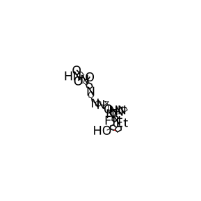 CCc1cccc2cc(O)cc(-c3ncc4c(N5CC6CCC(C5)N6)nc(OCC5(CN6CCN(CC7CCN(c8ccc9c(c8)CN(C8CCC(=O)NC8=O)C9=O)CC7)CC6)CC5)nc4c3F)c12